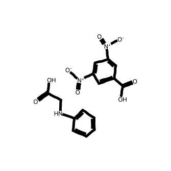 O=C(O)CNc1ccccc1.O=C(O)c1cc([N+](=O)[O-])cc([N+](=O)[O-])c1